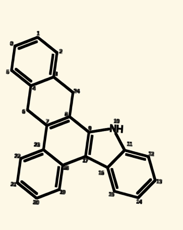 c1ccc2c(c1)Cc1c(c3[nH]c4ccccc4c3c3ccccc13)C2